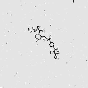 NOC1(C(=O)N2CCOC[C@@H]2CNC(=O)c2ccc(C3=NOC(C(F)(F)F)N3)cc2)CC1